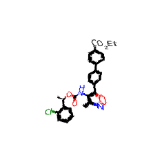 CCOC(=O)c1ccc(-c2ccc(-c3onc(C)c3NC(=O)O[C@H](C)c3ccccc3Cl)cc2)cc1